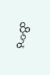 Fc1ccccc1CN1CCN(C2C=CC3=C(CCC=C3)c3ccccc32)CC1